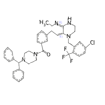 CC/N=C1/NCCN(Cc2cc(Cl)ccc2C(F)(F)F)/C1=C/Cc1cccc(C(=O)N2CCN(C(c3ccccc3)c3ccccc3)CC2)c1